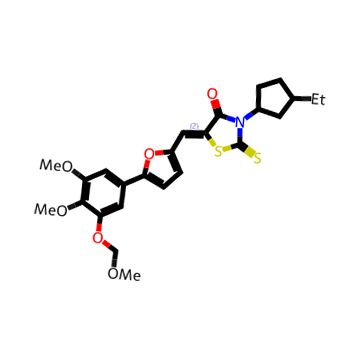 CCC1CCC(N2C(=O)/C(=C/c3ccc(-c4cc(OC)c(OC)c(OCOC)c4)o3)SC2=S)C1